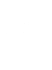 C[Si](C)(C)OC(C#N)(C1CC1)C1CC1